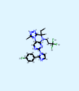 CCC1(C)c2nnc(C)n2-c2cnc(-n3ccnc3-c3ccc(F)cc3)nc2N1CCC(F)(F)F